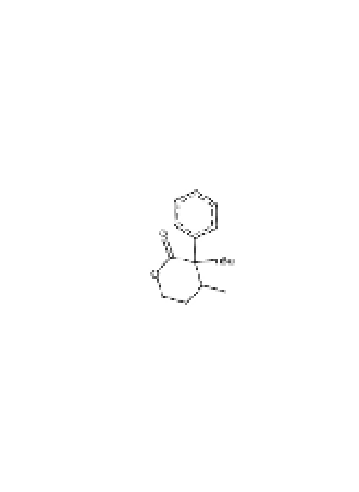 CCCCC1(c2ccccc2)C(=O)OCCC1C